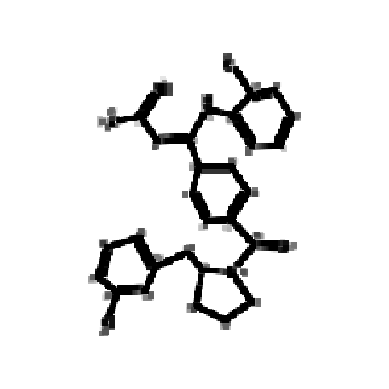 N=C(/C=C(\Nc1ccccc1Cl)c1ccc(C(=O)N2CCCC2Cc2cccc(Cl)c2)cc1)C(F)(F)F